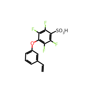 C=Cc1cccc(Oc2c(F)c(F)c(S(=O)(=O)O)c(F)c2F)c1